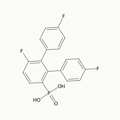 O=P(O)(O)c1ccc(F)c(-c2ccc(F)cc2)c1-c1ccc(F)cc1